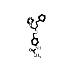 CC(=O)Nc1ccc(COC(CCc2ccccc2)Cn2ccnc2)cc1